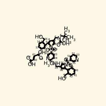 CC(C)(C)CN(Cc1cc(-c2ccccc2CO)n(S(=O)(=O)c2cccnc2)c1)C(=O)O.CNCc1cc(-c2ccccc2CO)n(S(=O)(=O)c2cccnc2)c1.O=C(O)C=CC(=O)O